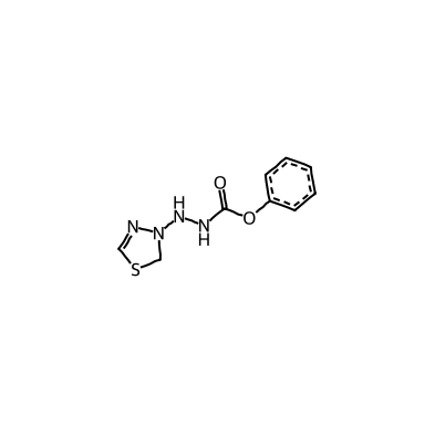 O=C(NNN1CSC=N1)Oc1ccccc1